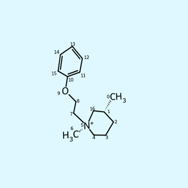 C[C@@H]1CCC[N@@+](C)(CCOc2ccccc2)C1